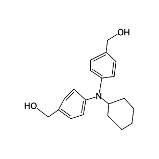 OCc1ccc(N(c2ccc(CO)cc2)C2CCCCC2)cc1